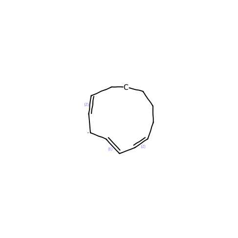 [CH]1/C=C\CCCCC/C=C\C=C\1